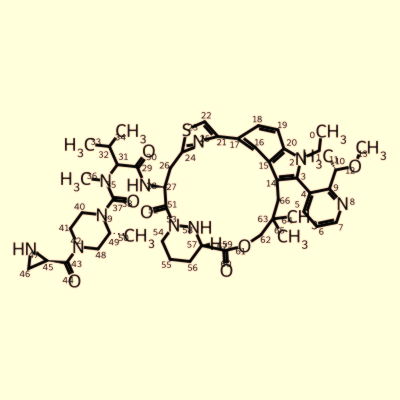 CCn1c(-c2cccnc2[C@H](C)OC)c2c3cc(ccc31)-c1csc(n1)C[C@H](NC(=O)C(C(C)C)N(C)C(=O)N1CCN(C(=O)[C@H]3CN3)C[C@H]1C)C(=O)N1CCC[C@H](N1)C(=O)OCC(C)(C)C2